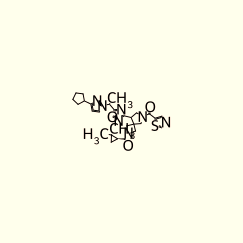 CC(c1nc(C2CN(C(=O)c3cncs3)CC23CN(C(=O)[C@H]2CC2(C)C)C3)no1)n1ccc(C2CCCC2)n1